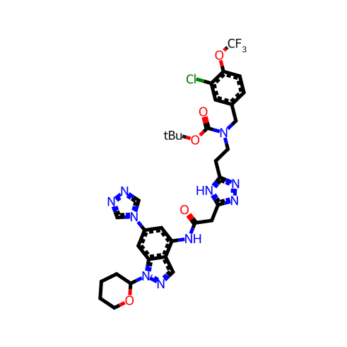 CC(C)(C)OC(=O)N(CCc1nnc(CC(=O)Nc2cc(-n3cnnc3)cc3c2cnn3C2CCCCO2)[nH]1)Cc1ccc(OC(F)(F)F)c(Cl)c1